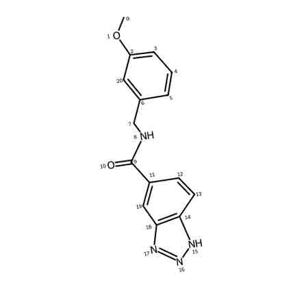 COc1cccc(CNC(=O)c2ccc3[nH]nnc3c2)c1